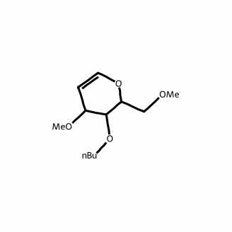 CCCCOC1C(OC)C=COC1COC